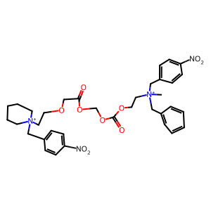 C[N+](CCOC(=O)OCOC(=O)COCC[N+]1(Cc2ccc([N+](=O)[O-])cc2)CCCCC1)(Cc1ccccc1)Cc1ccc([N+](=O)[O-])cc1